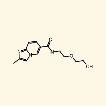 Cc1cn2cc(C(=O)NCCOCCO)ccc2n1